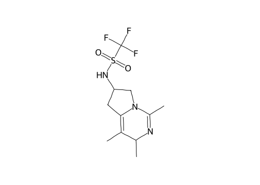 CC1=NC(C)C(C)=C2CC(NS(=O)(=O)C(F)(F)F)CN12